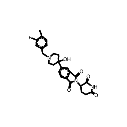 Cc1ccc(CN2CCC(O)(c3ccc4c(c3)C(=O)N(C3CCC(=O)NC3=O)C4=O)CC2)cc1F